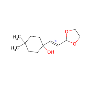 CC1(C)CCC(O)(/C=C/C2OCCO2)CC1